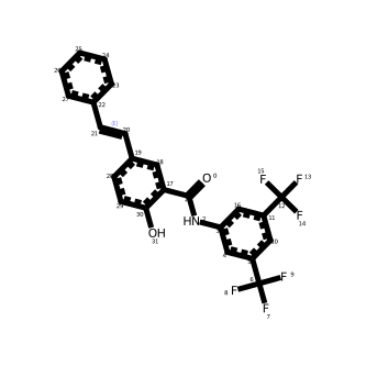 O=C(Nc1cc(C(F)(F)F)cc(C(F)(F)F)c1)c1cc(/C=C/c2ccccc2)ccc1O